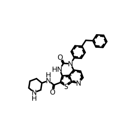 O=C(NC1CCCNC1)c1sc2nccc3c2c1NC(=O)N3c1ccc(Cc2ccccc2)cc1